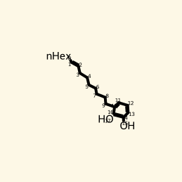 CCCCCCC=CCCCCCCCc1cccc(O)c1O